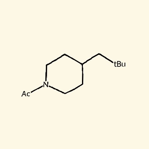 CC(=O)N1CCC(CC(C)(C)C)CC1